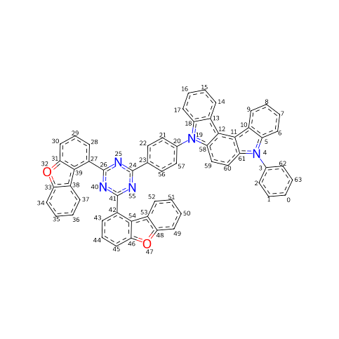 c1ccc(-n2c3ccccc3c3c4c5ccccc5n(-c5ccc(-c6nc(-c7cccc8oc9ccccc9c78)nc(-c7cccc8oc9ccccc9c78)n6)cc5)c4ccc32)cc1